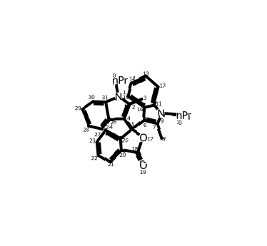 CCCn1c(C)c(C2(c3c(C)n(CCC)c4ccccc34)OC(=O)c3ccccc32)c2ccccc21